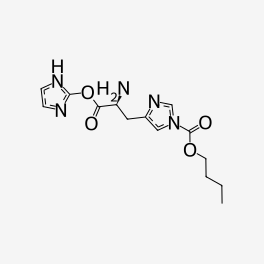 CCCCOC(=O)n1cnc(C[C@H](N)C(=O)Oc2ncc[nH]2)c1